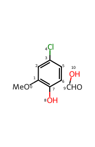 COc1cc(Cl)ccc1O.O=CO